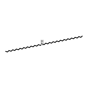 CCCCCCCCCCCCCCCCCCCCCCNCCCCCCCCCCCCCCCCCCCC